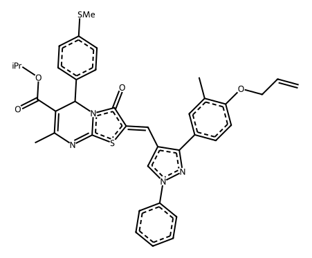 C=CCOc1ccc(-c2nn(-c3ccccc3)cc2C=c2sc3n(c2=O)C(c2ccc(SC)cc2)C(C(=O)OC(C)C)=C(C)N=3)cc1C